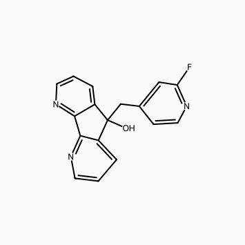 OC1(Cc2ccnc(F)c2)c2cccnc2-c2ncccc21